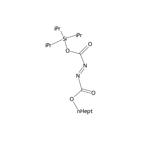 CCCCCCCOC(=O)/N=N/C(=O)O[Si](C(C)C)(C(C)C)C(C)C